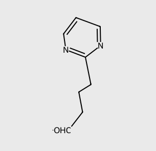 O=[C]CCCc1ncccn1